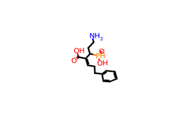 NCCC(C(=CCCc1ccccc1)C(=O)O)[PH](=O)O